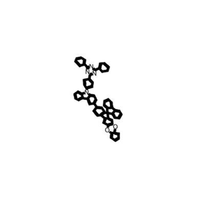 C1=CCCC(c2nc(-c3ccccc3)nc(-c3ccc(-n4c5ccccc5c5cc(-c6ccc7c(c6)C6(c8ccccc8-c8ccccc86)c6cc8c(cc6-7)Oc6ccccc6O8)ccc54)cc3)n2)=C1